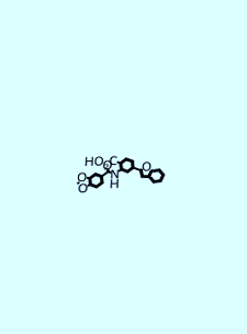 O=C(Nc1cc(-c2cc3ccccc3o2)ccc1C(=O)O)c1ccc2c(c1)OCO2